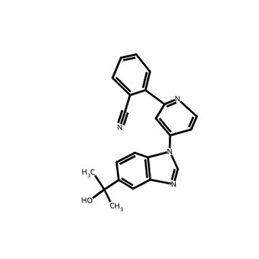 CC(C)(O)c1ccc2c(c1)ncn2-c1ccnc(-c2ccccc2C#N)c1